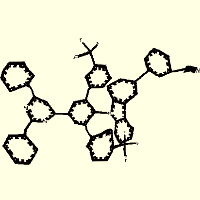 N#Cc1cccc(-c2ccc3c(c2)c2ccccc2n3-c2c(-c3cccc(C(F)(F)F)c3)cc(-c3cc(-c4ccccc4)nc(-c4ccccc4)n3)cc2-c2cccc(C(F)(F)F)c2)c1